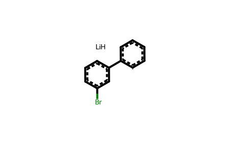 Brc1cccc(-c2[c]cccc2)c1.[LiH]